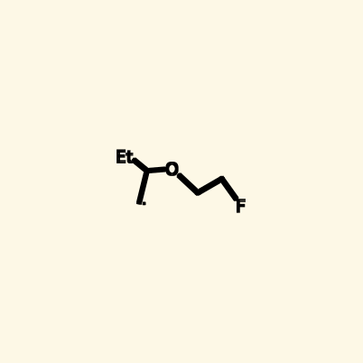 [CH2]C(CC)OCCF